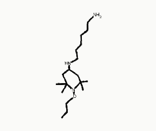 CCCON1C(C)(C)CC(NCCCCCCN)CC1(C)C